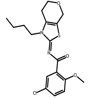 CCCCn1c2c(s/c1=N\C(=O)c1cc(Cl)ccc1OC)COCC2